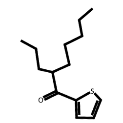 CCCCCC(CCC)C(=O)c1cccs1